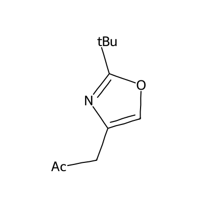 CC(=O)Cc1coc(C(C)(C)C)n1